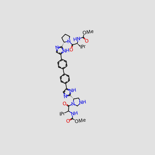 COC(=O)NC(C(=O)N1CNC[C@H]1c1ncc(-c2ccc(-c3ccc(-c4cnc([C@@H]5CCCN5C(=O)[C@@H](NC(=O)OC)C(C)C)[nH]4)cc3)cc2)[nH]1)C(C)C